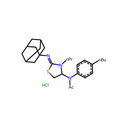 CCCCc1ccc(N(C(C)=O)C2CSC(=NC34CC5CC(CC(C5)C3)C4)N2CCC)cc1.Cl